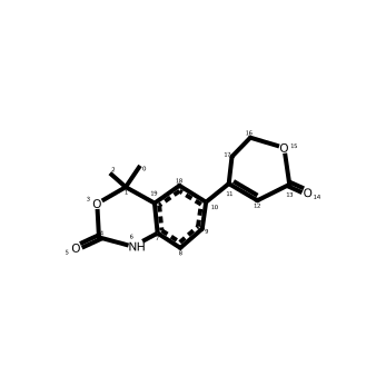 CC1(C)OC(=O)Nc2ccc(C3=CC(=O)OCC3)cc21